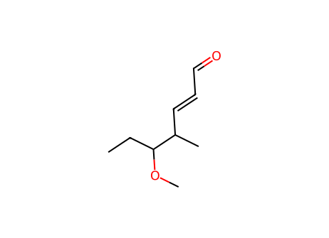 CCC(OC)C(C)C=CC=O